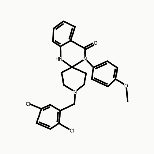 COc1ccc(N2C(=O)c3ccccc3NC23CCN(Cc2cc(Cl)ccc2Cl)CC3)cc1